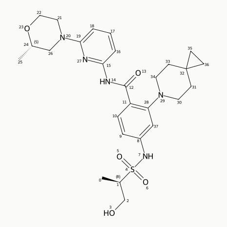 C[C@H](CO)S(=O)(=O)Nc1ccc(C(=O)Nc2cccc(N3CCO[C@@H](C)C3)n2)c(N2CCC3(CC2)CC3)c1